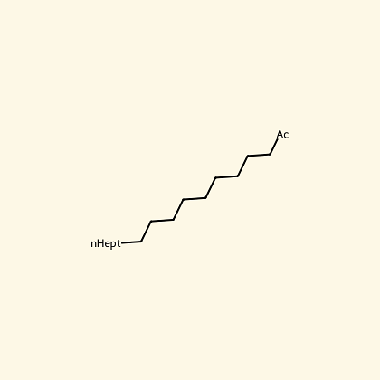 [CH2]C(=O)CCCCCCCCCCCCCCCC